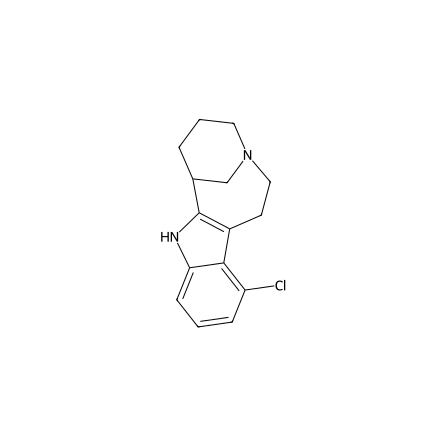 Clc1cccc2[nH]c3c(c12)CCN1CCCC3C1